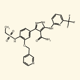 CCS(=O)(=O)Nc1ccc(-c2n[nH]c(Nc3cccc(C(F)(F)F)n3)c2C(N)=O)cc1OCc1cccnc1